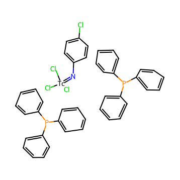 Clc1ccc([N]=[Tc]([Cl])([Cl])[Cl])cc1.c1ccc(P(c2ccccc2)c2ccccc2)cc1.c1ccc(P(c2ccccc2)c2ccccc2)cc1